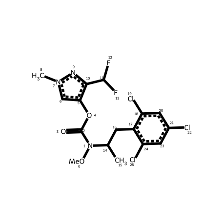 CON(C(=O)Oc1cn(C)nc1C(F)F)C(C)Cc1c(Cl)cc(Cl)cc1Cl